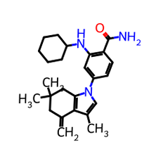 C=C1CC(C)(C)Cc2c1c(C)cn2-c1ccc(C(N)=O)c(NC2CCCCC2)c1